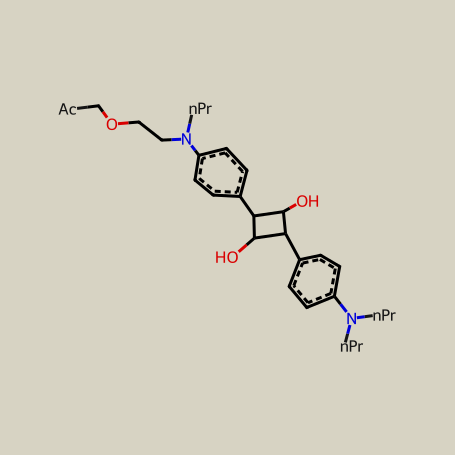 CCCN(CCC)c1ccc(C2C(O)C(c3ccc(N(CCC)CCOCC(C)=O)cc3)C2O)cc1